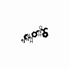 CCC(C(=O)NCC1CCC(Nc2nccc(N(C)C)n2)CC1)c1ccccc1